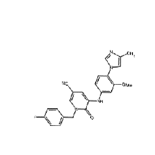 COc1cc(Nc2cc(C#N)cn(Cc3ccc(F)cc3)c2=O)ccc1-n1cnc(C)c1